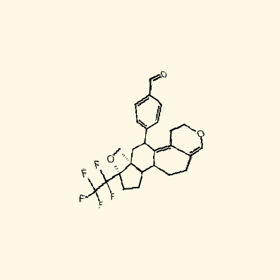 CO[C@@]1(C(F)(F)C(F)(F)F)CCC2C3CCC4=COCCC4=C3C(c3ccc(C=O)cc3)C[C@@]21C